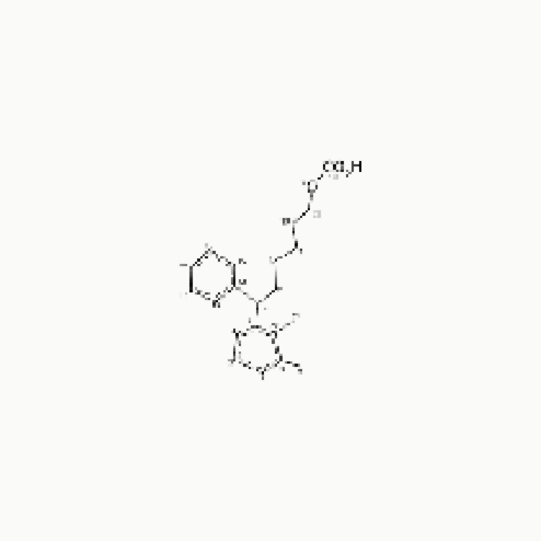 Cc1cccc(C(CCCCCOC(=O)O)c2ccccc2)c1C